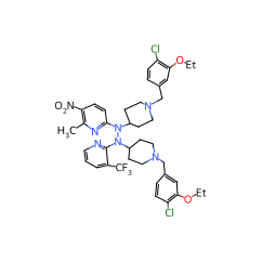 CCOc1cc(CN2CCC(N(c3ccc([N+](=O)[O-])c(C)n3)N(c3ncccc3C(F)(F)F)C3CCN(Cc4ccc(Cl)c(OCC)c4)CC3)CC2)ccc1Cl